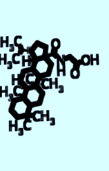 CC(C)[C@@H]1CC[C@]2(C(=O)NCC(=O)O)CC[C@]3(C)C(CCC4[C@@]5(C)CCCC(C)(C)C5CC[C@]43C)[C@H]12